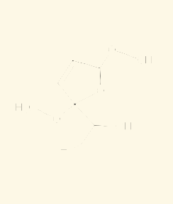 COC1C=CC(OC)(C(C)O)O1